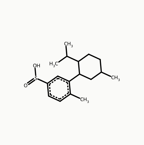 Cc1ccc(S(=O)O)cc1C1CC(C)CCC1C(C)C